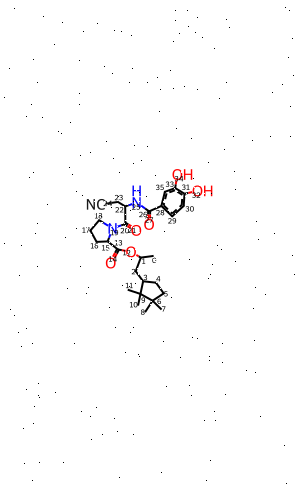 CC(CC1CCC(C)(C)C1(C)C)OC(=O)C1CCCN1C(=O)C(CC#N)NC(=O)c1ccc(O)c(O)c1